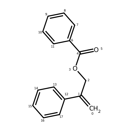 C=C(COC(=O)c1ccccc1)c1ccccc1